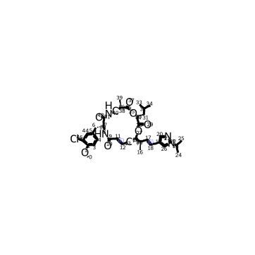 COc1ccc(C[C@H]2NC(=O)/C=C/C[C@@H]([C@H](C)/C=C/c3cnn(C(C)C)c3)OC(=O)[C@H](CC(C)C)OC(=O)[C@H](C)CNC2=O)cc1Cl